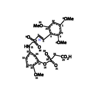 COc1cc(OC)c(/C=C/S(=O)(=O)Nc2ccc(OC)c(OS(=O)(=O)CC(=O)O)c2)c(OC)c1